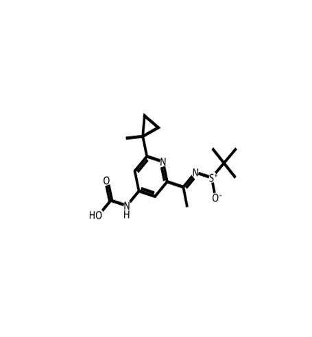 CC(=N[S+]([O-])C(C)(C)C)c1cc(NC(=O)O)cc(C2(C)CC2)n1